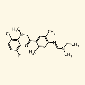 CCN(C)C=Nc1cc(C)c(C(=O)CN(C)c2cc(F)ccc2Cl)cc1C